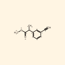 C#Cc1cccc(C(C)C(=O)OC)c1